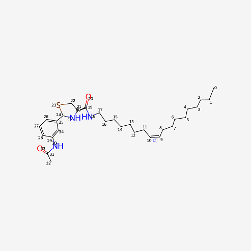 CCCCCCCCC/C=C\CCCCCCCNC(=O)[C@@H]1CSC(c2cccc(NC(C)=O)c2)N1